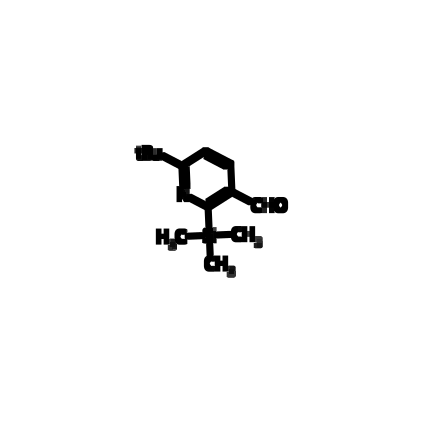 CC(C)(C)c1ccc(C=O)c([Si](C)(C)C)n1